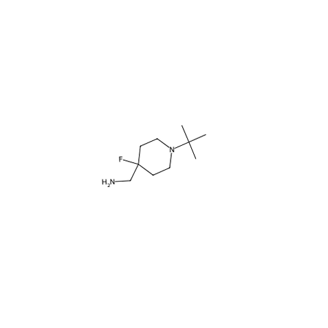 CC(C)(C)N1CCC(F)(CN)CC1